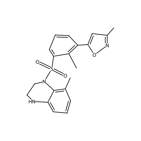 Cc1cc(-c2cccc(S(=O)(=O)N3CCNc4cccc(C)c43)c2C)on1